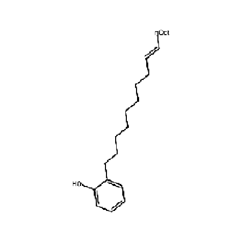 CCCCCCCCC=CCCCCCCCCc1ccccc1O